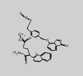 COC(=O)CCC(C(N)=O)c1ccc2ccccc2n1.[N-]=[N+]=NCc1ccc(COc2cccc3c2C=NC3=O)cc1